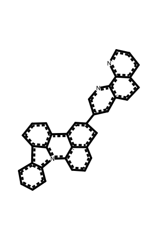 c1cnc2c(c1)ccc1cc(-c3cc4cccc5c4c(c3)c3cccc4c6ccccc6n5c34)cnc12